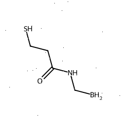 BCNC(=O)CCS